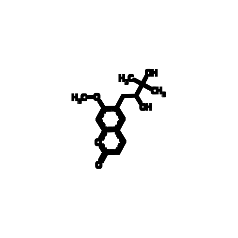 COc1cc2oc(=O)ccc2cc1CC(O)C(C)(C)O